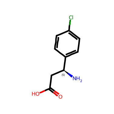 N[C@@H](CC(=O)O)c1ccc(Cl)cc1